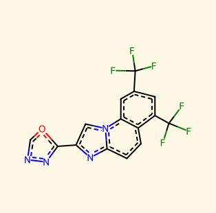 FC(F)(F)c1cc(C(F)(F)F)c2ccc3nc(-c4nnco4)cn3c2c1